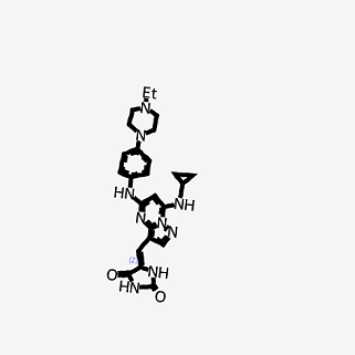 CCN1CCN(c2ccc(Nc3cc(NC4CC4)n4ncc(/C=C5\NC(=O)NC5=O)c4n3)cc2)CC1